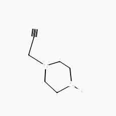 C#CCN1CCN(N)CC1